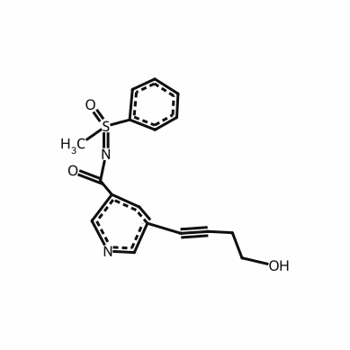 CS(=O)(=NC(=O)c1cncc(C#CCCO)c1)c1ccccc1